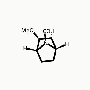 CO[C@H]1C[C@@H]2CC[C@H]1N2C(=O)O